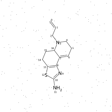 C=CCN1CCC=C2c3nc(N)sc3CCC21